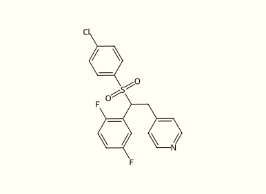 O=S(=O)(c1ccc(Cl)cc1)C(Cc1ccncc1)c1cc(F)ccc1F